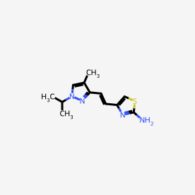 Cc1cn(C(C)C)nc1C=Cc1csc(N)n1